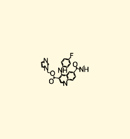 CNC(=O)c1ccc2ncc(C(=O)OCn3ccnc3)c(Nc3ccc(F)cc3)c2c1